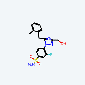 Cc1ccccc1Cc1nc(CO)nn1-c1ccc(S(N)(=O)=O)cc1F